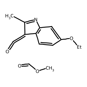 CCOc1ccc2c(c1)N=C(C)C2=C=O.COC=O